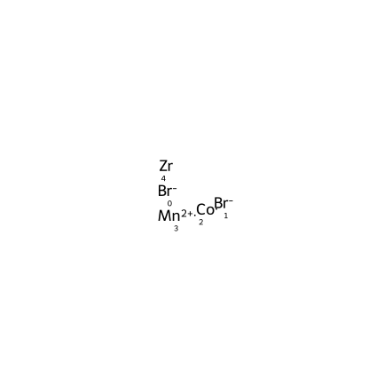 [Br-].[Br-].[Co].[Mn+2].[Zr]